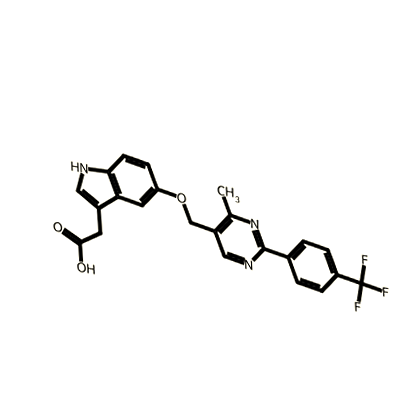 Cc1nc(-c2ccc(C(F)(F)F)cc2)ncc1COc1ccc2[nH]cc(CC(=O)O)c2c1